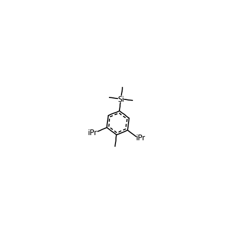 Cc1c(C(C)C)cc([Si](C)(C)C)cc1C(C)C